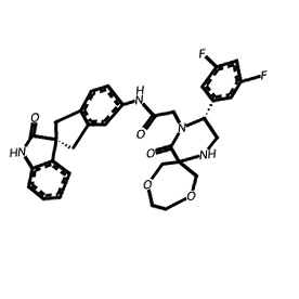 O=C(CN1C(=O)C2(COCCOC2)NC[C@H]1c1cc(F)cc(F)c1)Nc1ccc2c(c1)C[C@@]1(C2)C(=O)Nc2ccccc21